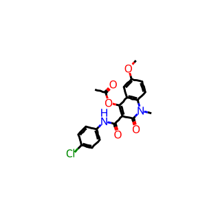 COc1ccc2c(c1)c(OC(C)=O)c(C(=O)Nc1ccc(Cl)cc1)c(=O)n2C